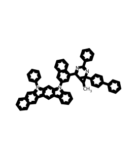 CC1C2C(c3cc(-n4c5ccccc5c5cc6c7cc8ccccc8cc7n(-c7ccccc7)c6cc54)cc4ccccc34)=NC(c3ccccc3)=NC12c1ccc(-c2ccccc2)cc1